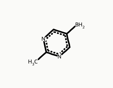 Bc1cnc(C)nc1